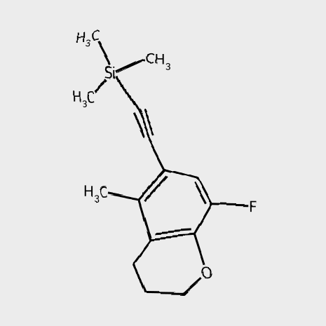 Cc1c(C#C[Si](C)(C)C)cc(F)c2c1CCCO2